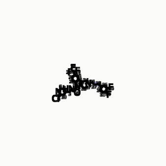 O=C(NCc1ccnc(Cl)c1)n1c2c(c3cc(C(F)(F)F)ccc31)CN(C/C=C/c1ccc(F)c(F)c1)CC2